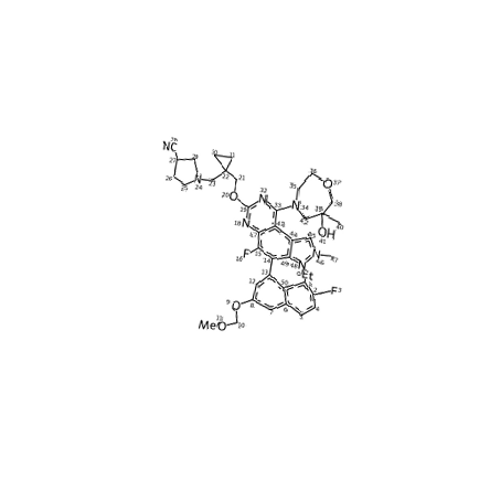 CCc1c(F)ccc2cc(OCOC)cc(-c3c(F)c4nc(OCC5(CN6CCC(C#N)C6)CC5)nc(N5CCOCC(C)(O)C5)c4c4cn(C)nc34)c12